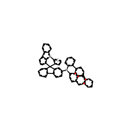 c1ccc(-c2ccc(-c3ccccc3N(c3ccc4c(c3)C3(c5ccccc5-4)c4ccccc4-n4c5ccccc5c5cccc3c54)c3ccc4ccccc4c3)cc2)cc1